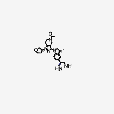 CN/C=C(\C=N)c1ccc2c(c1)[C@@H](C)CN2c1nn([C@H]2CCOC2)c2c1CN(C(C)=O)CC2